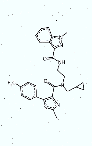 Cc1nc(C(=O)N(CCNC(=O)c2nn(C)c3ccccc23)CC2CC2)c(-c2ccc(C(F)(F)F)cc2)s1